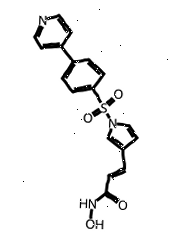 O=C(C=Cc1ccn(S(=O)(=O)c2ccc(-c3ccncc3)cc2)c1)NO